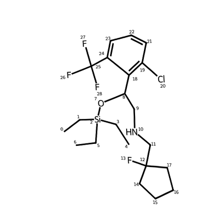 CC[Si](CC)(CC)OC(CNCC1(F)CCCC1)c1c(Cl)cccc1C(F)(F)F